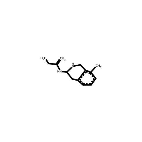 C=C(CC)NC1BCc2c(C)cccc2C1